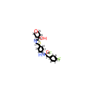 O=C(Cc1ccc(F)cc1F)Nc1ccc(-c2cnc(C3(O)CCOCC3)s2)cc1